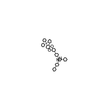 c1ccc(-c2ccc(-c3cc(-c4ccccc4)nc(-c4ccc(-c5ccc6c(c5)Oc5ccc7c(c5O6)-c5ccccc5C7(c5ccccc5)c5ccccc5)cc4)n3)cc2)cc1